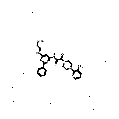 CC(=O)NCCNc1cc(NC(=O)C(=O)N2CCN(c3ncccc3C(F)(F)F)CC2)nc(-c2ccccc2)n1